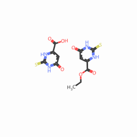 CCOC(=O)c1cc(=O)[nH]c(=S)[nH]1.O=C(O)c1cc(=O)[nH]c(=S)[nH]1